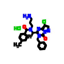 Cc1ccc(C(=O)N(CCCN)C(c2nc3c(Cl)cnn3c(=O)n2Cc2ccccc2)C(C)C)cc1.Cl